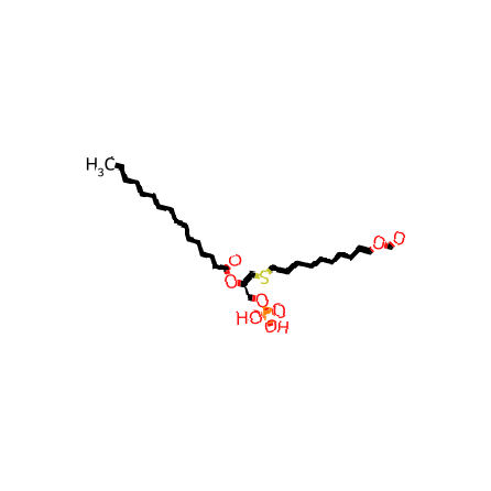 CCCCCCCCCCCCCCCC(=O)O[C@H](COP(=O)(O)O)CSCCCCCCCCCCOC=O